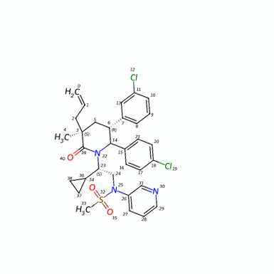 C=CC[C@@]1(C)C[C@H](c2cccc(Cl)c2)C(c2ccc(Cl)cc2)N([C@H](CN(c2cccnc2)S(C)(=O)=O)C2CC2)C1=O